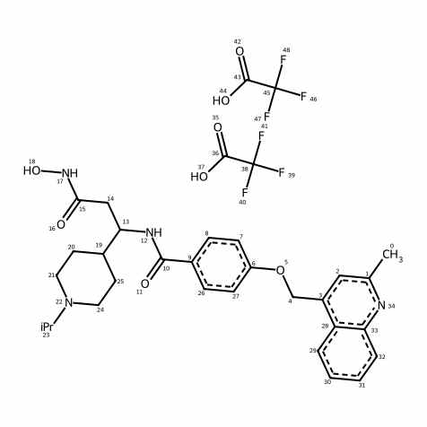 Cc1cc(COc2ccc(C(=O)NC(CC(=O)NO)C3CCN(C(C)C)CC3)cc2)c2ccccc2n1.O=C(O)C(F)(F)F.O=C(O)C(F)(F)F